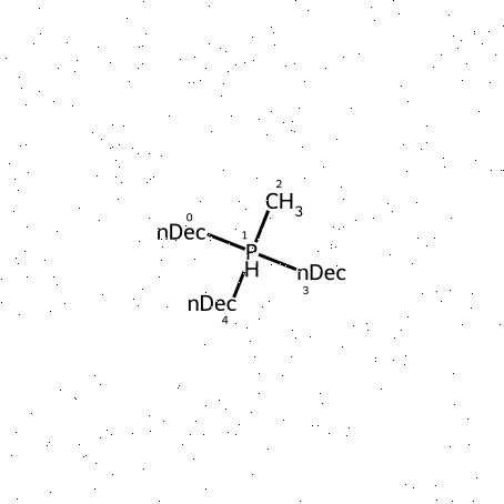 CCCCCCCCCC[PH](C)(CCCCCCCCCC)CCCCCCCCCC